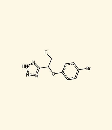 FCC(Oc1ccc(Br)cc1)c1nn[nH]n1